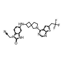 N#CCn1c(=O)[nH]c2cc(NC3CC4(CCN(c5ncnc6sc(CC(F)(F)F)cc56)C4)C3)ccc21